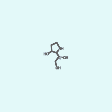 OC[C@@H](O)C1NCCC1O